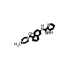 CN1CCN(C(O)c2cccc3cc(Nc4n[nH]c5cccnc45)ccc23)CC1